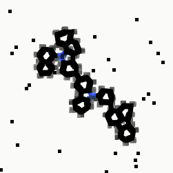 c1cc(-c2ccc3c4c(cccc24)-c2ccccc2-3)cc(-n2c3ccccc3c3cc(-c4ccc5c(c4)c4ccc6ccccc6c4n5-c4cccc5ccccc45)ccc32)c1